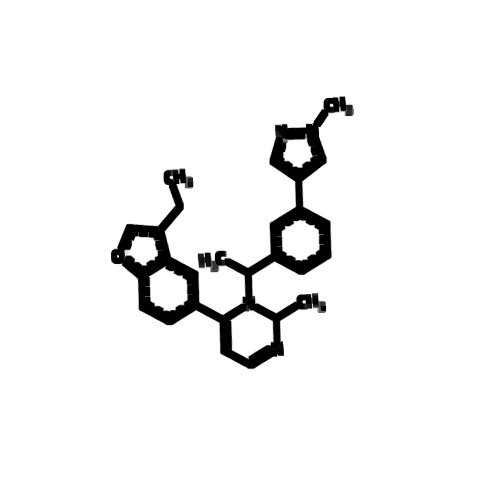 CCc1coc2ccc(C3=CC=NC(C)N3C(C)c3cccc(-c4cnn(C)c4)c3)cc12